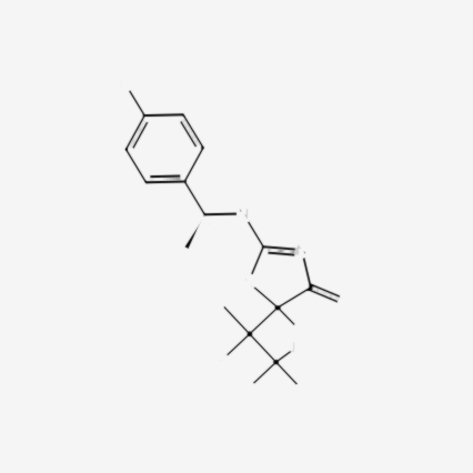 C[C@H](NC1=NC(=O)C(C)(C(C)(F)C(F)(F)F)S1)c1ccc(F)cc1